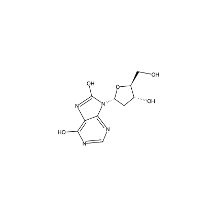 OC[C@@H]1O[C@@H](n2c(O)nc3c(O)ncnc32)C[C@H]1O